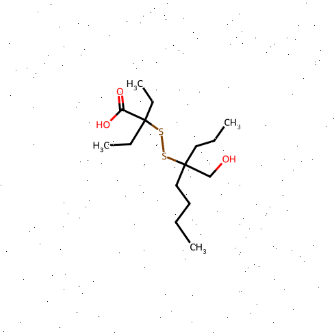 CCCCC(CO)(CCC)SSC(CC)(CC)C(=O)O